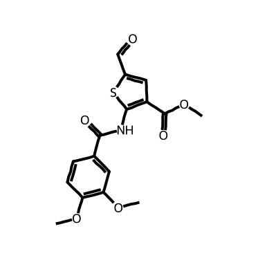 COC(=O)c1cc(C=O)sc1NC(=O)c1ccc(OC)c(OC)c1